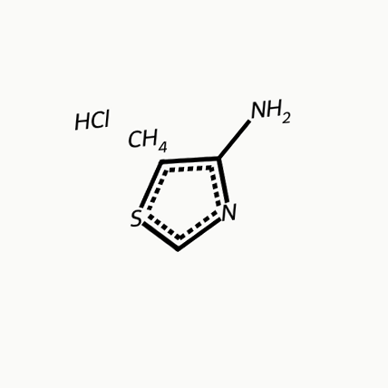 C.Cl.Nc1cscn1